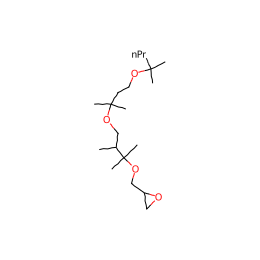 CCCC(C)(C)OCCC(C)(C)OCC(C)C(C)(C)OCC1CO1